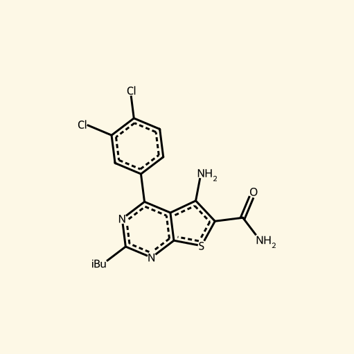 CCC(C)c1nc(-c2ccc(Cl)c(Cl)c2)c2c(N)c(C(N)=O)sc2n1